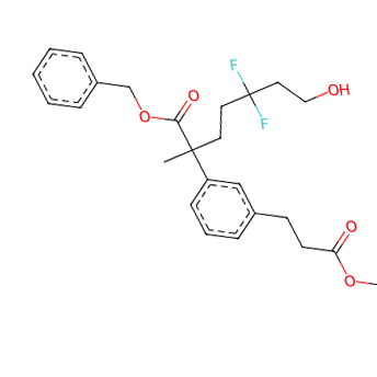 CCOC(=O)CCc1cccc(C(C)(CCC(F)(F)CCO)C(=O)OCc2ccccc2)c1